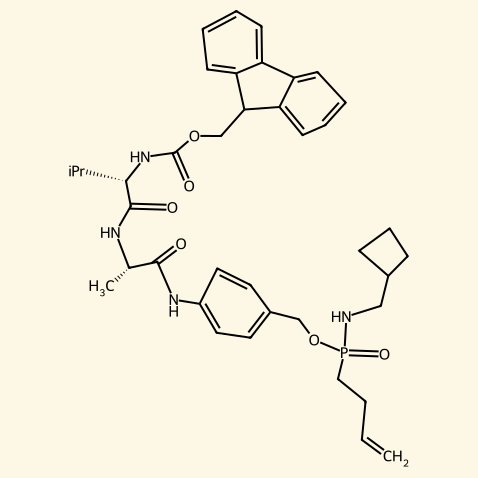 C=CCCP(=O)(NCC1CCC1)OCc1ccc(NC(=O)[C@H](C)NC(=O)[C@@H](NC(=O)OCC2c3ccccc3-c3ccccc32)C(C)C)cc1